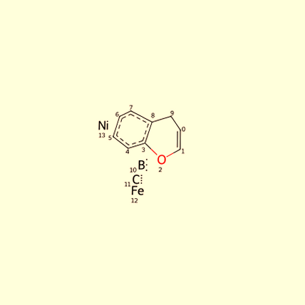 C1=COc2ccccc2C1.[B].[C].[Fe].[Ni]